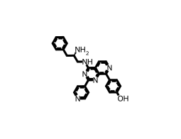 N[C@@H](CNc1nc(-c2ccncc2)nc2c(-c3ccc(O)cc3)nccc12)Cc1ccccc1